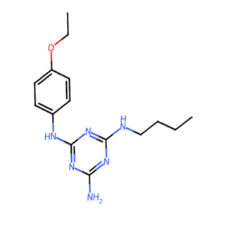 CCCCNc1nc(N)nc(Nc2ccc(OCC)cc2)n1